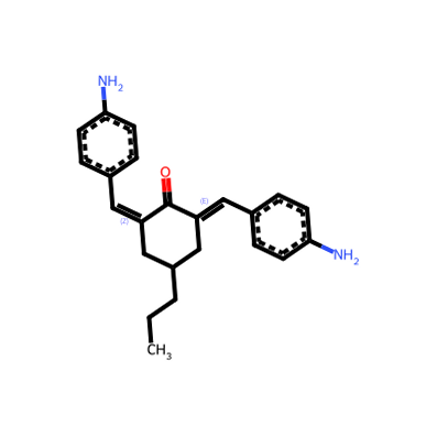 CCCC1C/C(=C/c2ccc(N)cc2)C(=O)/C(=C/c2ccc(N)cc2)C1